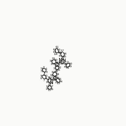 c1ccc(-c2cccc(-c3cc(-c4ccccc4)nc(-n4c5ccccc5c5cc(-c6ccc7c(c6)c6ccccc6n7-c6cc(-c7ccccc7)nc(-c7cccc(-c8ccccc8)c7)n6)ccc54)n3)c2)cc1